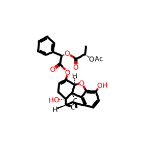 CC(=O)O[C@@H](C)C(=O)O[C@H](C(=O)OC1=CC[C@]2(O)[C@H]3CCC[C@]24c2c(ccc(O)c2O[C@H]14)C3)c1ccccc1